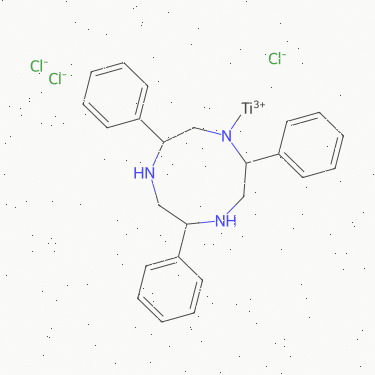 [Cl-].[Cl-].[Cl-].[Ti+3][N]1CC(c2ccccc2)NCC(c2ccccc2)NCC1c1ccccc1